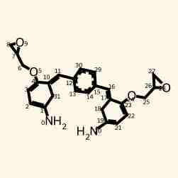 NC1=CC=C(OCC2CO2)C(=Cc2ccc(C=C3CC(N)=CC=C3OCC3CO3)cc2)C1